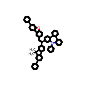 CC1(C)c2cc(/C(=C/c3ccc4oc5cc(-c6ccccc6)ccc5c4c3)c3ccc4c(c3)N(c3ccccc3)c3ccccc3-c3ccccc3-4)ccc2-c2ccc(-c3ccccc3)cc21